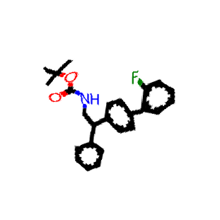 CC(C)(C)OC(=O)NCC(c1ccccc1)c1ccc(-c2ccccc2F)cc1